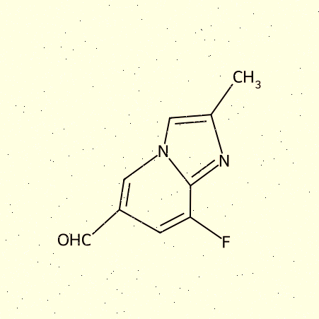 Cc1cn2cc(C=O)cc(F)c2n1